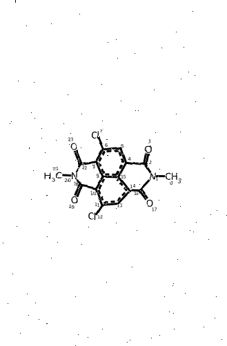 CN1C(=O)c2cc(Cl)c3c4c(c(Cl)cc(c24)C1=O)C(=O)N(C)C3=O